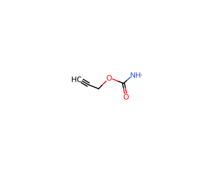 C#CCOC([NH])=O